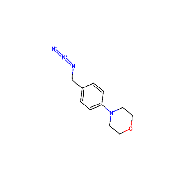 [N-]=[N+]=NCc1ccc(N2CCOCC2)cc1